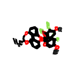 CCOc1ccc(C(=O)Oc2cccc3c2-c2c(OC(=O)c4ccc(OCC)c(F)c4F)cccc2O[C@H](C)CO3)c(F)c1F